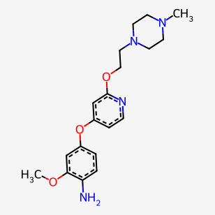 COc1cc(Oc2ccnc(OCCN3CCN(C)CC3)c2)ccc1N